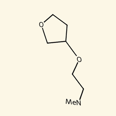 CNCCOC1CCOC1